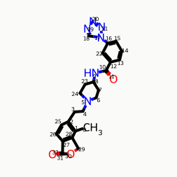 Cc1c(CCN2CCC(NC(=O)c3cccc(-n4cnnn4)c3)CC2)ccc2c1COC2=O